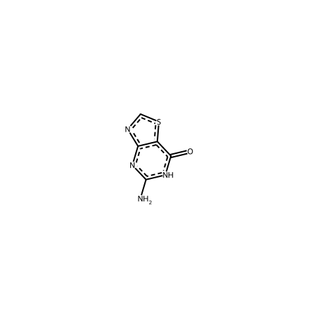 Nc1nc2ncsc2c(=O)[nH]1